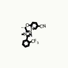 C[C@H](Oc1ccc(C#N)cn1)c1nnc(-c2ccccc2C(F)(F)F)n1C